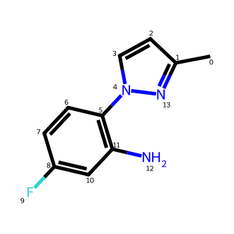 Cc1ccn(-c2ccc(F)cc2N)n1